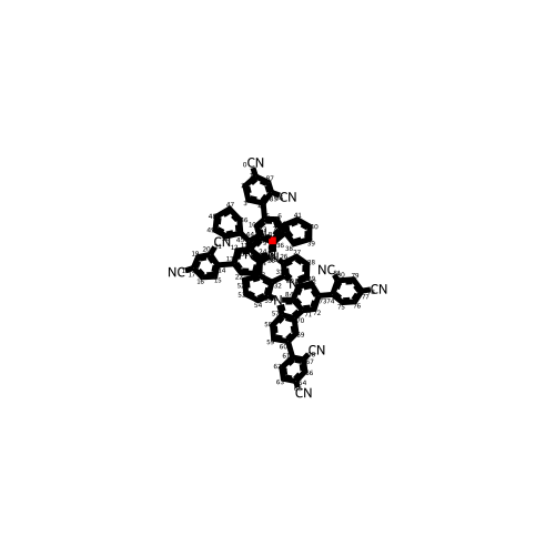 N#Cc1ccc(-c2ccc3c(c2)c2cc(-c4ccc(C#N)cc4C#N)ccc2n3-c2cccnc2-c2c(-c3nc(-c4ccccc4)nc(-c4ccccc4)n3)cccc2-n2c3ccc(-c4ccc(C#N)cc4C#N)cc3c3cc(-c4ccc(C#N)cc4C#N)ccc32)c(C#N)c1